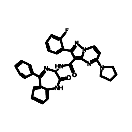 O=C(N[C@H]1N=C(c2ccccc2)c2ccccc2NC1=O)c1c(-c2ccccc2F)nn2ccc(N3CCCC3)nc12